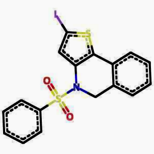 O=S(=O)(c1ccccc1)N1Cc2ccccc2-c2sc(I)cc21